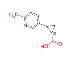 Nc1ccc(C2C[C@@H]2C(=O)O)cn1